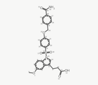 COc1ccc2c(c1)c(CCC(=O)O)cn2S(=O)(=O)c1ccc(OCc2ccc(C(N)=O)cc2)cc1